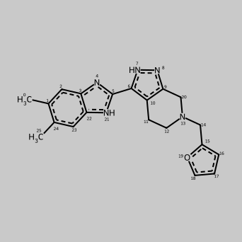 Cc1cc2nc(-c3[nH]nc4c3CCN(Cc3ccco3)C4)[nH]c2cc1C